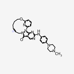 CN1CCN(c2ccc(Nc3ncc4c(=O)n5n(c4n3)-c3cccc(n3)OCCC/C=C\C5)cc2)CC1